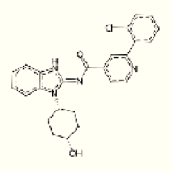 O=C(/N=c1\[nH]c2ccccc2n1[C@H]1CC[C@@H](O)CC1)c1ccnc(-c2ccccc2Cl)c1